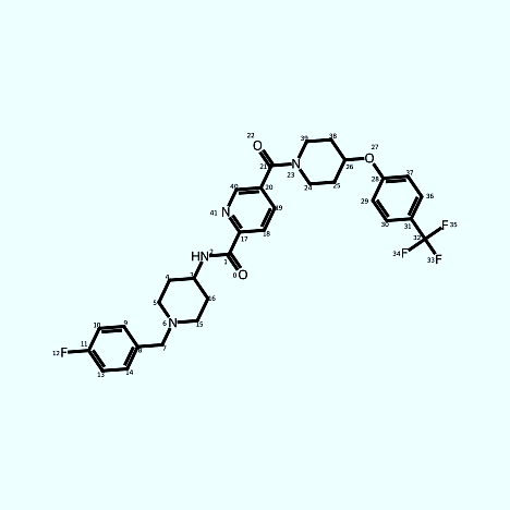 O=C(NC1CCN(Cc2ccc(F)cc2)CC1)c1ccc(C(=O)N2CCC(Oc3ccc(C(F)(F)F)cc3)CC2)cn1